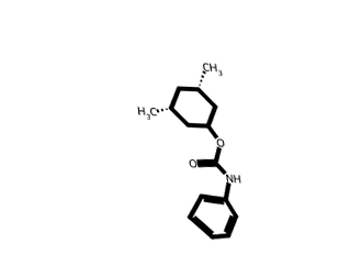 C[C@@H]1CC(OC(=O)Nc2ccccc2)C[C@H](C)C1